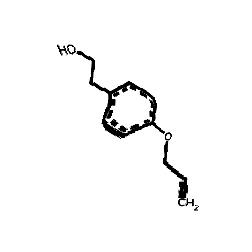 C=CCOc1ccc(CCO)cc1